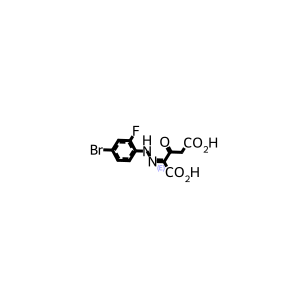 O=C(O)CC(=O)/C(=N\Nc1ccc(Br)cc1F)C(=O)O